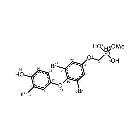 CO[PH](O)(O)COc1cc(Br)c(Oc2ccc(O)c(C(C)C)c2)c(Br)c1